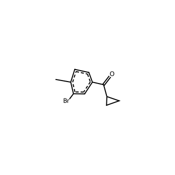 Cc1ccc(C(=O)C2CC2)cc1Br